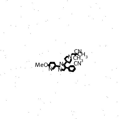 COc1ccc(-c2ncc(-c3cccc(C#N)c3)c(C3CCN(CC(C)(C)C#N)CC3)n2)cn1